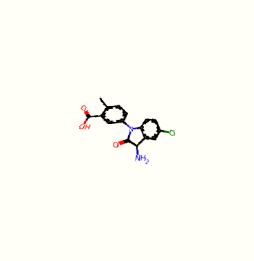 Cc1ccc(N2C(=O)C(N)c3cc(Cl)ccc32)cc1C(=O)O